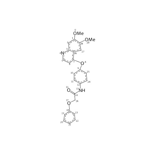 COc1cc2nccc(Oc3ccc(NC(=O)COc4ccccc4)cc3)c2cc1OC